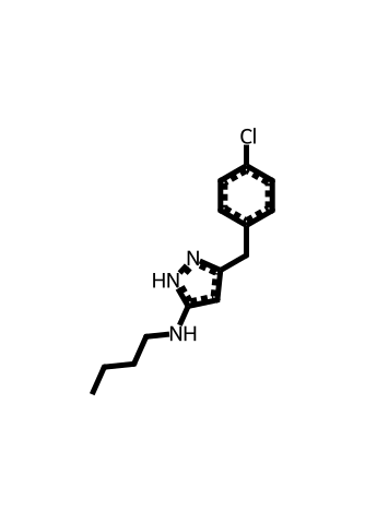 CCCCNc1cc(Cc2ccc(Cl)cc2)n[nH]1